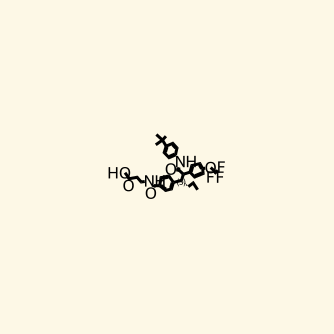 CCC[C@H](c1ccc(C(=O)NCCC(=O)O)cc1)C(C(=O)Nc1ccc(C(C)(C)C)cc1)c1ccc(OC(F)(F)F)cc1